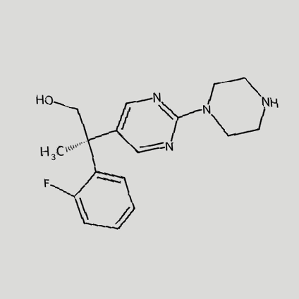 C[C@](CO)(c1cnc(N2CCNCC2)nc1)c1ccccc1F